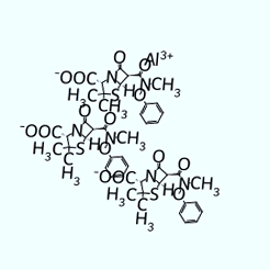 CN(Oc1ccccc1)C(=O)[C@@H]1C(=O)N2[C@@H]1SC(C)(C)[C@@H]2C(=O)[O-].CN(Oc1ccccc1)C(=O)[C@@H]1C(=O)N2[C@@H]1SC(C)(C)[C@@H]2C(=O)[O-].CN(Oc1ccccc1)C(=O)[C@@H]1C(=O)N2[C@@H]1SC(C)(C)[C@@H]2C(=O)[O-].[Al+3]